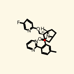 Cc1ccc(-c2ncccn2)c(C(=O)N2C3CC[C@@H](COc4ccc(F)cn4)[C@@H]2CC3)c1